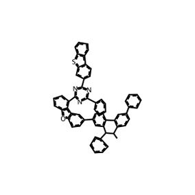 CC1c2ccc(-c3ccccc3)cc2-c2ccc(-c3ccc4oc5cccc(-c6nc(-c7ccccc7)nc(-c7ccc8c(c7)sc7ccccc78)n6)c5c4c3)cc2C1c1ccccc1